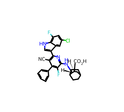 N#Cc1c(-c2c[nH]c3c(F)cc(Cl)cc23)nc(N[C@H]2C3CCC(CC3)C[C@@H]2C(=O)O)c(F)c1-c1ccccc1